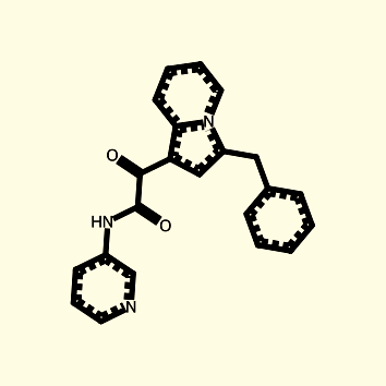 O=C(Nc1cccnc1)C(=O)c1cc(Cc2ccccc2)n2ccccc12